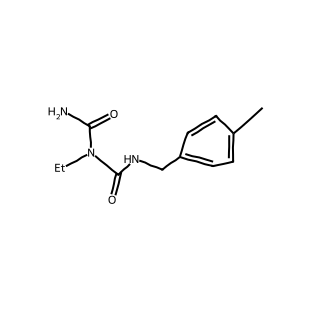 CCN(C(N)=O)C(=O)NCc1ccc(C)cc1